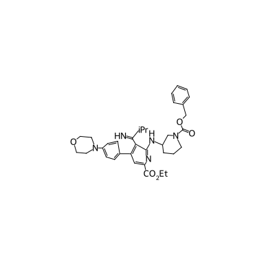 CCOC(=O)c1cc(-c2ccc(N3CCOCC3)cc2)c(C(=N)C(C)C)c(NC2CCCN(C(=O)OCc3ccccc3)C2)n1